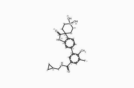 Cc1c(F)cc(C(=O)NCC2CC2)cc1-c1ccc2c(c1)NC(=O)C21CCS(O)(O)CC1